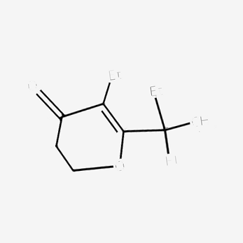 CCC1=C(C(C)(CC)CC)OCCC1=O